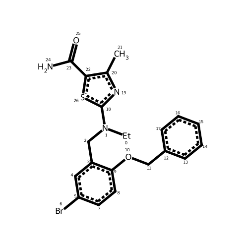 CCN(Cc1cc(Br)ccc1OCc1ccccc1)c1nc(C)c(C(N)=O)s1